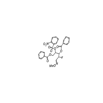 CON=CC(F)C(OC(=O)c1ccccc1)C(COC(=O)c1ccccc1)OS(=O)(=O)c1ccccc1[N+](=O)[O-]